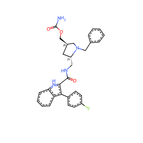 NC(=O)OC[C@@H]1C[C@@H](CNC(=O)c2[nH]c3ccccc3c2-c2ccc(F)cc2)N(Cc2ccccc2)C1